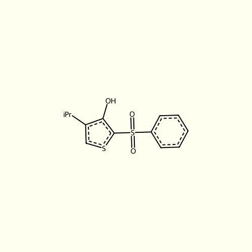 CC(C)c1csc(S(=O)(=O)c2ccccc2)c1O